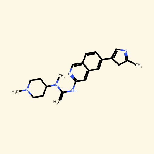 C=C(Nc1cc2cc(C3=CN=C(C)C3)ccc2cn1)N(C)C1CCN(C)CC1